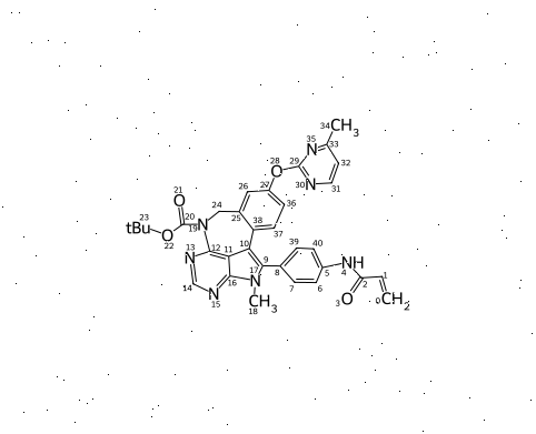 C=CC(=O)Nc1ccc(-c2c3c4c(ncnc4n2C)N(C(=O)OC(C)(C)C)Cc2cc(Oc4nccc(C)n4)ccc2-3)cc1